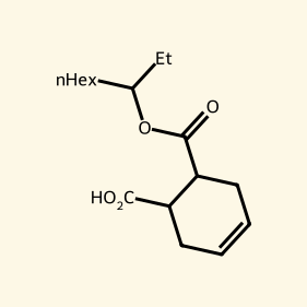 CCCCCCC(CC)OC(=O)C1CC=CCC1C(=O)O